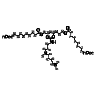 CCCCCCCCCCCCCCCCCCC(=O)OCCCC(CCCOC(=O)CCCCCCCCCCCCCCCCCC)OC(=O)NCCCN(C)CCCCN(C)C